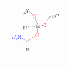 CCCO[Si](CC)(OCCC)OC(N)CC